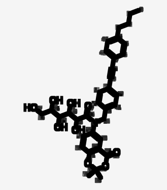 CCCCc1ccc(C#Cc2ccc(CN(C(=O)C(O)C(O)C(O)C(O)CO)c3ccc4c(c3)C(=O)OC(C)(C)O4)cc2)cc1